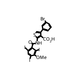 COc1c(I)cc(I)c(C(=O)Nc2scc(-c3cccc(Br)c3)c2C(=O)O)c1I